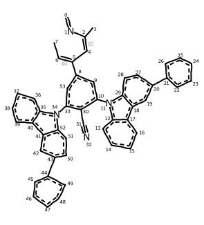 C=N/C(C)=C\C(=C/C)c1cc(-n2c3ccccc3c3cc(-c4ccccc4)ccc32)c(C#N)c(-n2c3ccccc3c3cc(-c4ccccc4)ccc32)c1